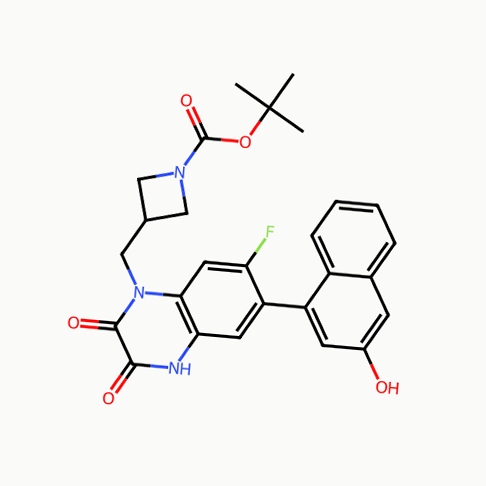 CC(C)(C)OC(=O)N1CC(Cn2c(=O)c(=O)[nH]c3cc(-c4cc(O)cc5ccccc45)c(F)cc32)C1